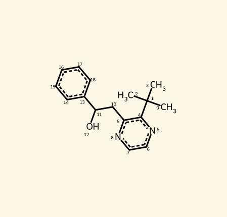 CC(C)(C)c1nccnc1CC(O)c1ccccc1